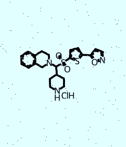 Cl.O=S(=O)(c1ccc(-c2ccno2)s1)C(C1CCNCC1)N1CCc2ccccc2C1